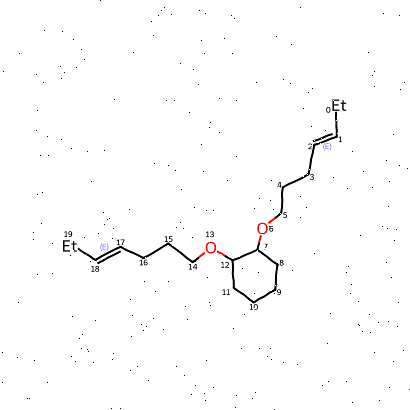 CC/C=C/CCCOC1CCCCC1OCCC/C=C/CC